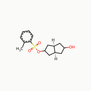 Cc1ccccc1S(=O)(=O)OC1C[C@H]2CC(O)C[C@H]2C1